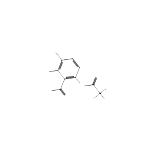 Cc1c(Cl)ccc(OC(=O)C(C)(C)C)c1C(=O)O